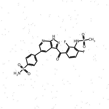 CS(=O)(=O)Nc1c(F)ccc(C(=O)c2n[nH]c3ncc(-c4ccc(S(N)(=O)=O)cc4)cc23)c1F